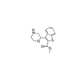 COC(=O)c1sc2ccccc2c1C1CNCCO1